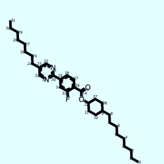 CCCCCCCCCC1CCC(OC(=O)c2ccc(-c3ncc(CCCCCCCC)cn3)cc2F)CC1